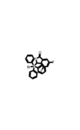 O=C1OC(P(Br)(c2ccccc2)(c2ccccc2)c2ccccc2)c2c(F)cc(F)cc21